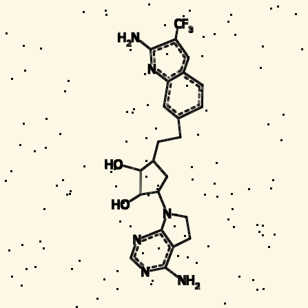 Nc1nc2cc(CCC3CC(N4CCc5c(N)ncnc54)C(O)C3O)ccc2cc1C(F)(F)F